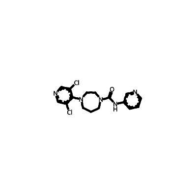 O=C(Nc1cccnc1)N1CCCN(c2c(Cl)cncc2Cl)CC1